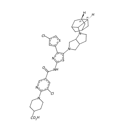 O=C(Nc1nc(-c2cc(Cl)cs2)c(N2CC3CCN(C4C5CC6C[C@H](C5)[C@H]4C6)C3C2)s1)c1cnc(N2CCC(C(=O)O)CC2)c(Cl)c1